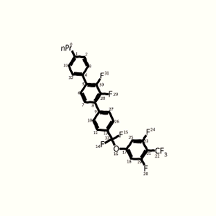 CCCc1ccc(-c2ccc(-c3ccc(C(F)(F)Oc4cc(F)c(C(F)(F)F)c(F)c4)cc3)c(F)c2F)cc1